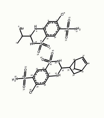 CCC(C)C(C)C1Nc2cc(Cl)c(S(N)(=O)=O)cc2S(=O)(=O)N1.NS(=O)(=O)c1cc2c(cc1Cl)NC(C1CC3C=CC1C3)NS2(=O)=O